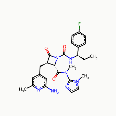 CC[C@@H](NC(=O)N1C(=O)[C@H](Cc2cc(C)nc(N)c2)[C@H]1C(=O)N(C)c1nccn1C)c1ccc(F)cc1